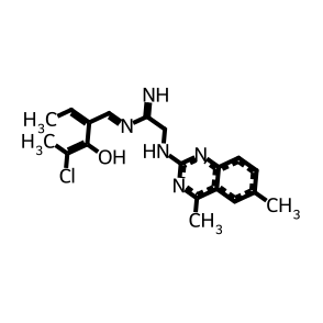 C/C=C(/C=N/C(=N)CNc1nc(C)c2cc(C)ccc2n1)C(\O)=C(/C)Cl